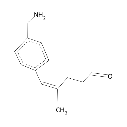 C/C(=C/c1ccc(CN)cc1)CCC=O